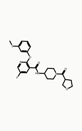 CSc1cccc(Oc2ncc(F)cc2C(=O)NC2CCN(C(=O)C3CCOC3)CC2)c1